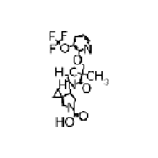 CC(C)(COc1ncccc1OC(F)(F)F)C(=O)NC1CN(C(=O)O)CC12CC2